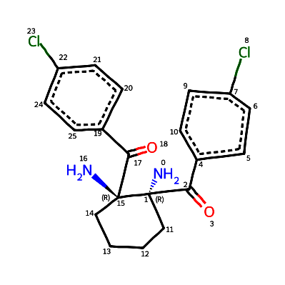 N[C@]1(C(=O)c2ccc(Cl)cc2)CCCC[C@]1(N)C(=O)c1ccc(Cl)cc1